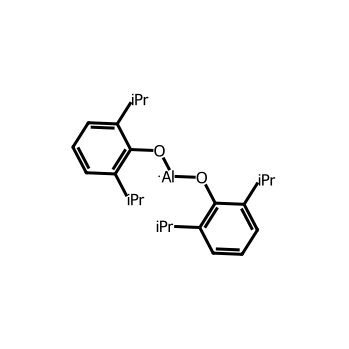 CC(C)c1cccc(C(C)C)c1[O][Al][O]c1c(C(C)C)cccc1C(C)C